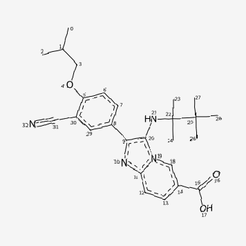 CC(C)COc1ccc(-c2nc3ccc(C(=O)O)cn3c2NC(C)(C)C(C)(C)C)cc1C#N